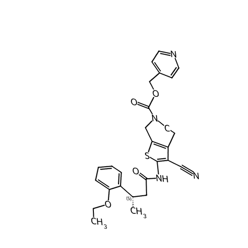 CCOc1ccccc1[C@@H](C)CC(=O)Nc1sc2c(c1C#N)CCN(C(=O)OCc1ccncc1)C2